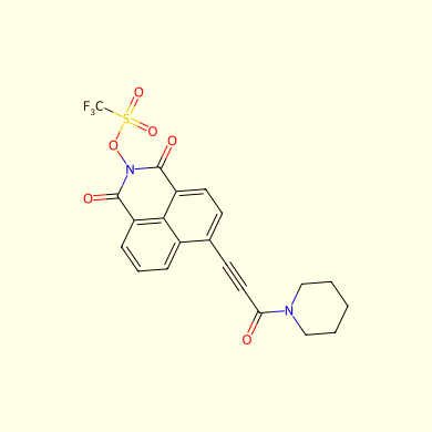 O=C(C#Cc1ccc2c3c(cccc13)C(=O)N(OS(=O)(=O)C(F)(F)F)C2=O)N1CCCCC1